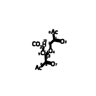 CC(=O)C(=O)COCC(=O)C(C)=O.CC(=O)O